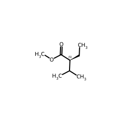 CC[C@H](C(=O)OC)C(C)C